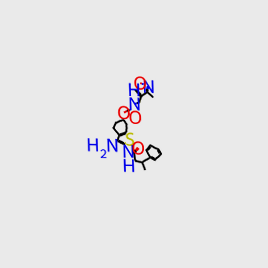 Cc1nocc1CNC(=O)OC1CCc2c(sc(NC(=O)CC(C)c3ccccc3)c2N)C1